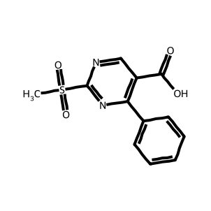 CS(=O)(=O)c1ncc(C(=O)O)c(-c2ccccc2)n1